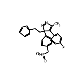 O=[SH](=O)Cc1ccc(C2(CCc3ccccc3)N=NC(C(F)(F)F)=C2c2ccc(F)cc2)cc1